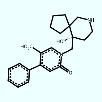 O=C(O)c1cn(C[C@]2(O)CCNCC23CCCC3)c(=O)cc1-c1ccccc1